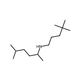 CC(C)CCC(C)NCCCC(C)(C)C